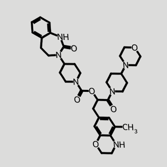 Cc1cc(CC(OC(=O)N2CCC(N3CCc4ccccc4NC3=O)CC2)C(=O)N2CCC(N3CCOCC3)CC2)cc2c1NCCO2